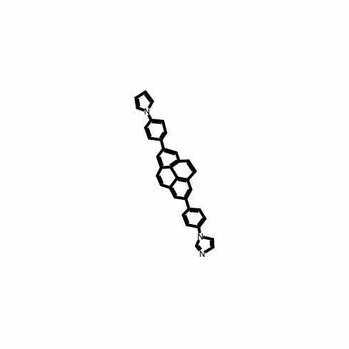 c1ccn(-c2ccc(-c3cc4ccc5cc(-c6ccc(-n7ccnc7)cc6)cc6ccc(c3)c4c56)cc2)c1